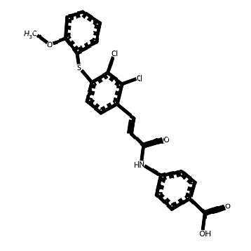 COc1ccccc1Sc1ccc(/C=C/C(=O)Nc2ccc(C(=O)O)cc2)c(Cl)c1Cl